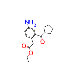 CCOC(=O)Cc1ccc(N)cc1C(=O)C1CCCC1